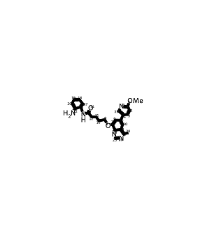 COc1ccc(-c2cc(OCCCCC(=O)Nc3ccccc3N)c3ncnc(C)c3c2)cn1